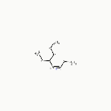 CC/C=N\C(CC)CCC